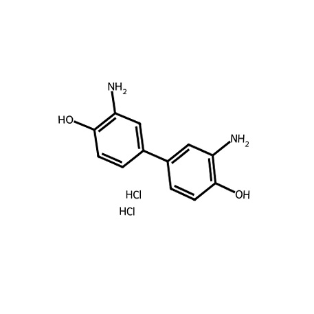 Cl.Cl.Nc1cc(-c2ccc(O)c(N)c2)ccc1O